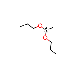 CCCO[Si](C)OCCC